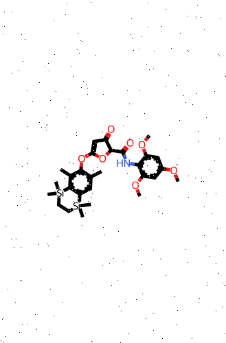 COc1cc(OC)c(NC(=O)C2OC(Oc3c(C)cc4c(c3C)[Si](C)(C)CC[Si]4(C)C)=CC2=O)c(OC)c1